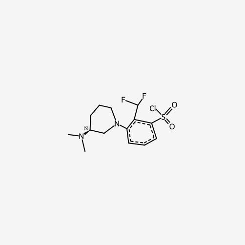 CN(C)[C@H]1CCCN(c2cccc(S(=O)(=O)Cl)c2C(F)F)C1